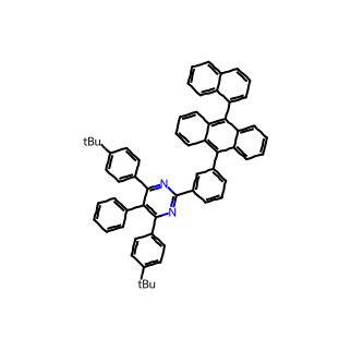 CC(C)(C)c1ccc(-c2nc(-c3cccc(-c4c5ccccc5c(-c5cccc6ccccc56)c5ccccc45)c3)nc(-c3ccc(C(C)(C)C)cc3)c2-c2ccccc2)cc1